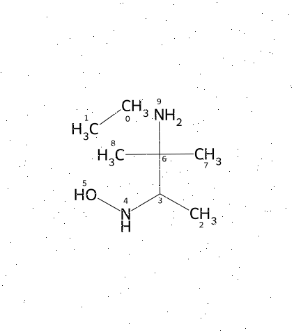 CC.CC(NO)C(C)(C)N